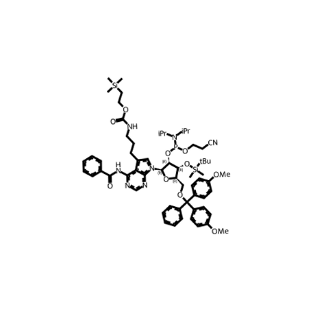 COc1ccc(C(OC[C@H]2O[C@@H](n3cc(CCCNC(=O)OCC[Si](C)(C)C)c4c(NC(=O)c5ccccc5)ncnc43)[C@H](OP(OCCC#N)N(C(C)C)C(C)C)[C@@H]2O[Si](C)(C)C(C)(C)C)(c2ccccc2)c2ccc(OC)cc2)cc1